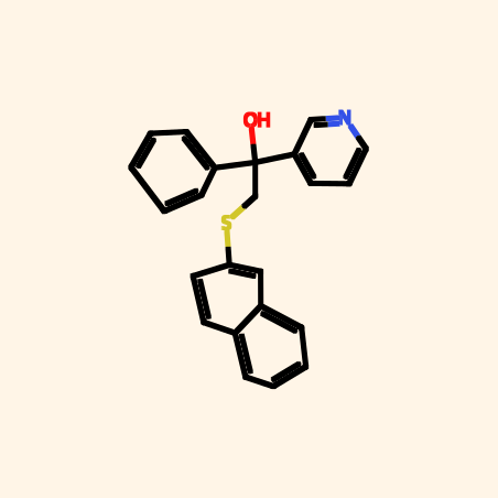 OC(CSc1ccc2ccccc2c1)(c1ccccc1)c1cccnc1